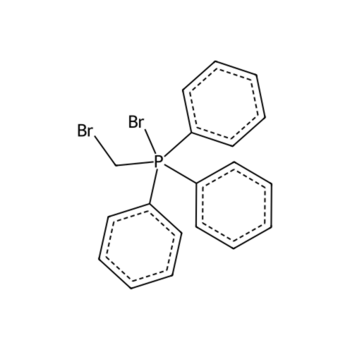 BrCP(Br)(c1ccccc1)(c1ccccc1)c1ccccc1